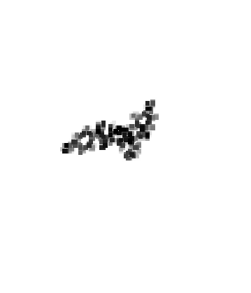 CC(O)(CNCC(C)(O)C(=O)Nc1ccc(Cl)cc1)C(=O)Nc1ccc(Cl)cc1